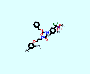 CCOP(=O)(OCC)C(F)(F)c1ccc(C[C@H](NC(=O)OCc2ccccc2)C(=O)NCCCOc2ccc(C(C)=O)cc2[N+](=O)[O-])cc1